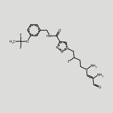 CC(F)(F)Oc1cccc(CNC(=O)c2cn(CC(F)CCN(N)/C=C(\N)C=O)nn2)c1